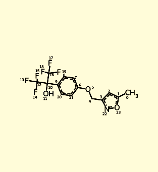 Cc1cc(COc2ccc(C(O)(C(F)(F)F)C(F)(F)F)cc2)no1